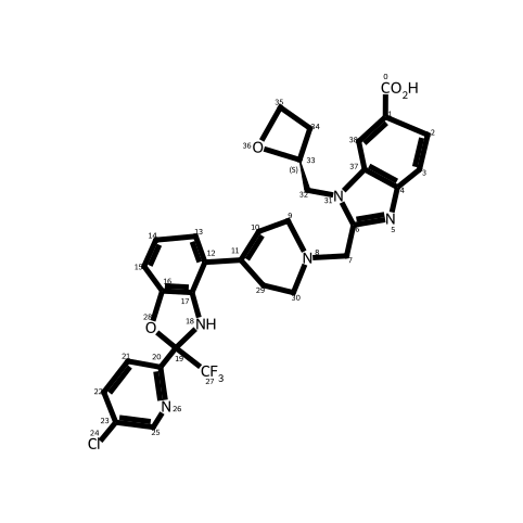 O=C(O)c1ccc2nc(CN3CC=C(c4cccc5c4NC(c4ccc(Cl)cn4)(C(F)(F)F)O5)CC3)n(C[C@@H]3CCO3)c2c1